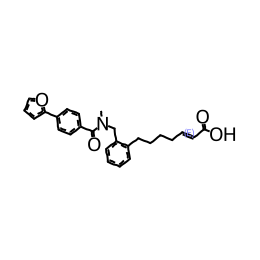 CN(Cc1ccccc1CCCC/C=C/C(=O)O)C(=O)c1ccc(-c2ccco2)cc1